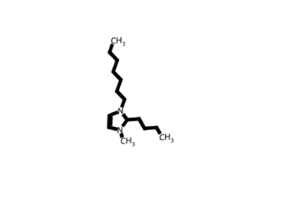 CCCCCCCN1C=CN(C)C1CCCC